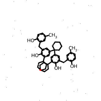 Cc1ccc(O)c(Cc2cc(C3(c4cc(Cc5cc(C)ccc5O)c(O)c(C5CCCCC5)c4)CCCCC3)cc(C3CCCCC3)c2O)c1